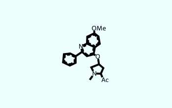 COc1ccc2c(OC3CC(C(C)=O)N(C)C3)cc(-c3ccccc3)nc2c1